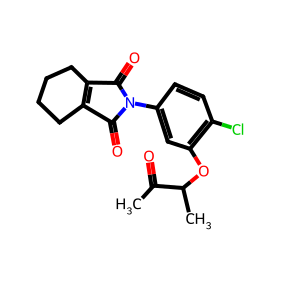 CC(=O)C(C)Oc1cc(N2C(=O)C3=C(CCCC3)C2=O)ccc1Cl